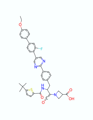 CCOc1ccc(-c2ccc(-c3cnc(-c4ccc(CC(NC(=O)c5ccc(C(C)(C)C)s5)C(=C=O)N5CC(C(=O)O)C5)cc4)nc3)c(F)c2)cc1